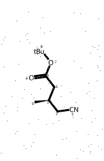 C[C@H](CC#N)CC(=O)OC(C)(C)C